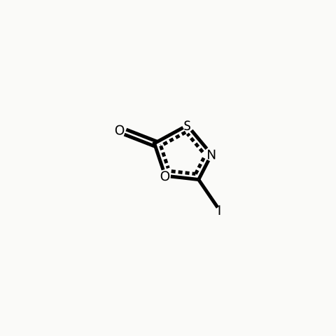 O=c1oc(I)ns1